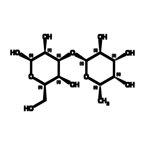 C[C@@H]1O[C@@H](O[C@@H]2[C@@H](O)[C@H](O)O[C@H](CO)[C@@H]2O)[C@@H](O)[C@H](O)[C@@H]1O